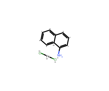 Nc1cccc2ccccc12.[Cl][Fe][Cl]